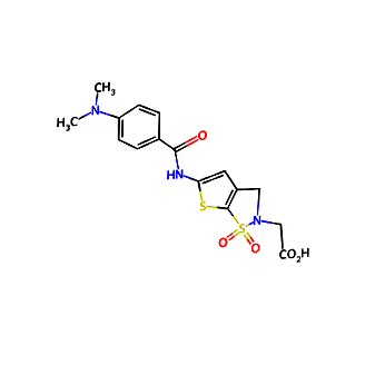 CN(C)c1ccc(C(=O)Nc2cc3c(s2)S(=O)(=O)N(CC(=O)O)C3)cc1